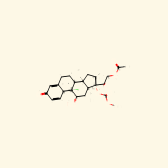 CCCOC(=O)O[C@]1(C(=O)COC(=O)CC)[C@H](C)C[C@H]2[C@@H]3CCC4=CC(=O)C=C[C@]4(C)[C@@]3(Cl)C(O)C[C@@]21C